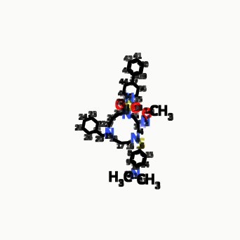 CO/N=C1/CN(Sc2ccc(N(C)C)cc2)CCCN(CC2CCCCC2)CCCN(S(=O)(=O)N2CCC(c3ccccc3)CC2)C1